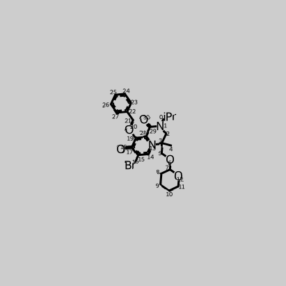 CC(C)N1CC(C)(COC2CCCCO2)n2cc(Br)c(=O)c(OCc3ccccc3)c2C1=O